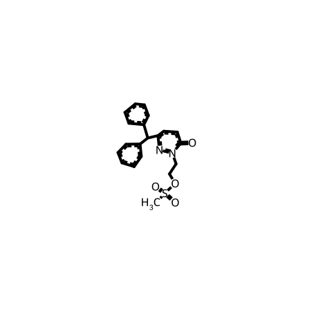 CS(=O)(=O)OCCn1nc(C(c2ccccc2)c2ccccc2)ccc1=O